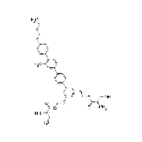 C=C(CO)C(=O)OCOc1cc(OCOC(=O)C(=C)CO)cc(-c2ccc(-c3ccc(C4CCC(CCCCC(F)(F)F)CC4)c(C)c3)cc2)c1